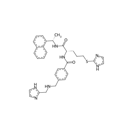 C[C@H](NC(=O)[C@H](CCCSc1ncc[nH]1)NC(=O)c1ccc(CNCc2ncc[nH]2)cc1)c1cccc2ccccc12